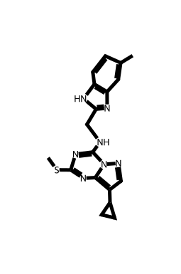 CSc1nc(NCc2nc3cc(C)ccc3[nH]2)n2ncc(C3CC3)c2n1